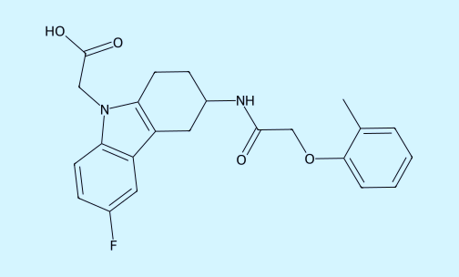 Cc1ccccc1OCC(=O)NC1CCc2c(c3cc(F)ccc3n2CC(=O)O)C1